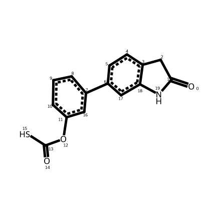 O=C1Cc2ccc(-c3cccc(OC(=O)S)c3)cc2N1